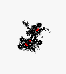 COCCOCCO[C@@H]1[C@@H](OP(C)(=O)OCc2ccccc2)[C@@H](OCCO[C@@H](C)CO[C@@H]2[C@H](OP(C)(=O)OCc3ccccc3)[C@@H](OP(C)(C)=O)[C@H](OP(C)(C)=O)[C@@H](OP(C)(=O)OCc3ccccc3)[C@@H]2OP(=O)(OCc2ccccc2)OCc2ccccc2)[C@@H](OP(C)(C)=O)[C@H](OCCOCCOC)[C@H]1OP(=O)(OCc1ccccc1)OCc1ccccc1